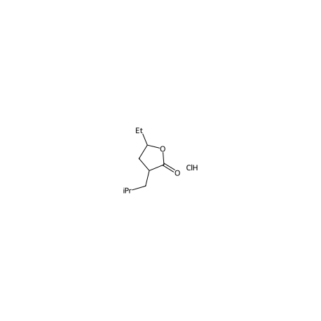 CCC1CC(CC(C)C)C(=O)O1.Cl